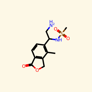 Cc1c(C(CN)NS(C)(=O)=O)ccc2c1COC2=O